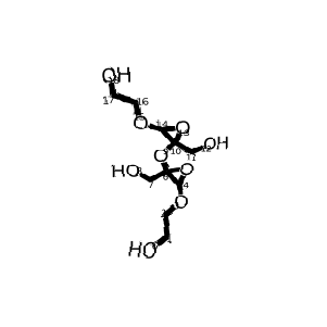 OCCOC1OC1(CO)OC1(CO)OC1OCCO